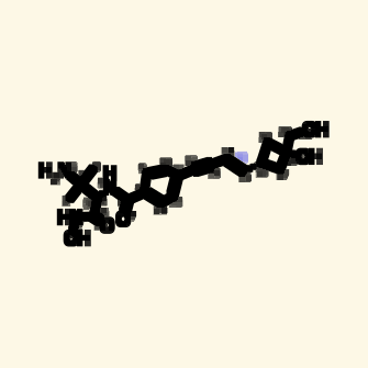 CC(C)(N)[C@H](NC(=O)c1ccc(C#C/C=C/[C@H]2C[C@@](O)(CO)C2)cc1)C(=O)NO